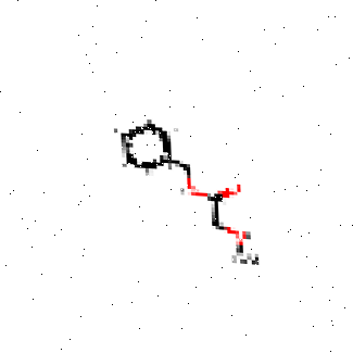 CC(C)(C)OCC(=O)OCc1ccccc1